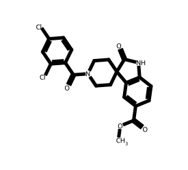 COC(=O)c1ccc2c(c1)C1(CCN(C(=O)c3ccc(Cl)cc3Cl)CC1)C(=O)N2